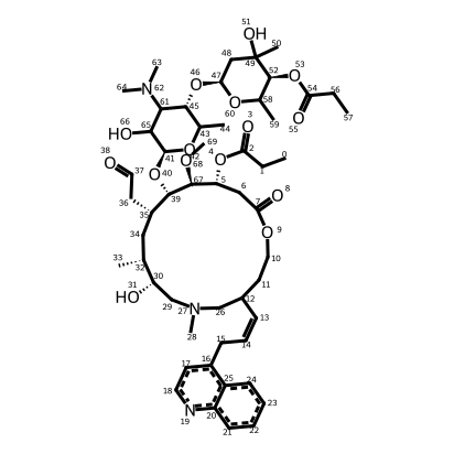 CCC(=O)O[C@@H]1CC(=O)OCCC(/C=C\Cc2ccnc3ccccc23)CN(C)C[C@H](O)[C@H](C)C[C@H](CC=O)[C@H](O[C@@H]2OC(C)[C@@H](O[C@H]3CC(C)(O)[C@@H](OC(=O)CC)C(C)O3)C(N(C)C)C2O)[C@H]1OC